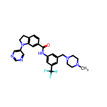 CN1CCN(Cc2cc(NC(=O)c3ccc4c(c3)N(c3cncnc3)CC4)cc(C(F)(F)F)c2)CC1